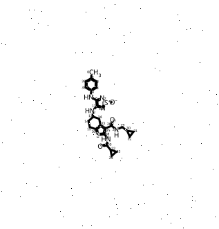 Cc1ccc(Nc2n[s+]([O-])nc2NC2CCc3sc(NC(=O)C4CC4)c(C(=O)NCC4CC4)c3C2)cc1